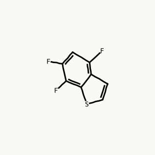 Fc1cc(F)c2ccsc2c1F